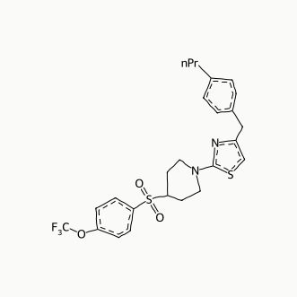 CCCc1ccc(Cc2csc(N3CCC(S(=O)(=O)c4ccc(OC(F)(F)F)cc4)CC3)n2)cc1